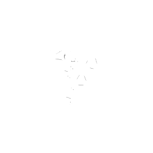 CCOc1cc([S+](C)[O-])ccc1C1=NC(c2ccc(Cl)cc2)C(c2ccc(Cl)cc2)N1C(=O)N1CCN(CC(=O)N(C)C)CC1